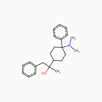 CN(C)C1(c2ccccc2)CCC(C(C)(O)Cc2ccccc2)CC1